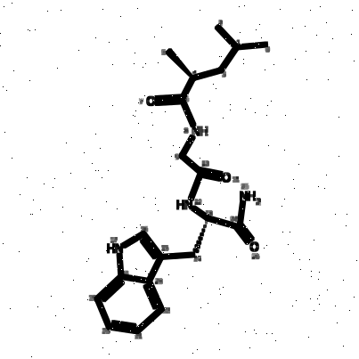 CC(C)C[C@H](C)C(=O)NCC(=O)N[C@@H](Cc1c[nH]c2ccccc12)C(N)=O